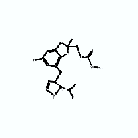 CC(C)(C)OC(=O)NCC1(C)Cc2cc(F)cc(CC3C=NN[C@@H]3C(F)F)c2O1